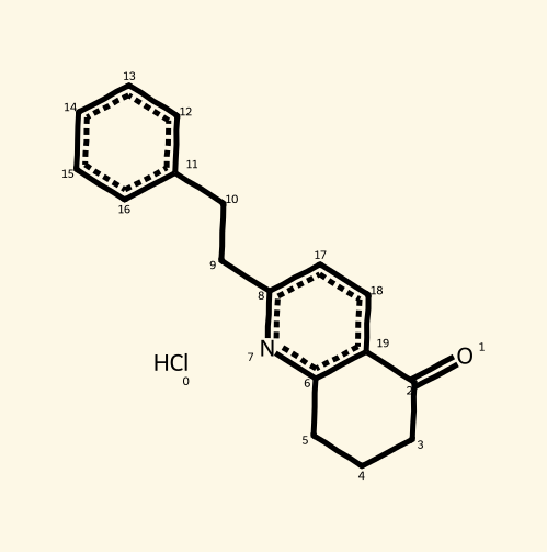 Cl.O=C1CCCc2nc(CCc3ccccc3)ccc21